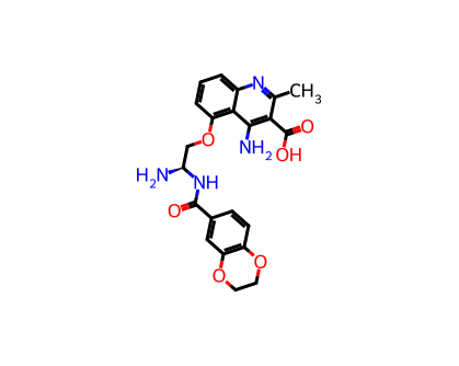 Cc1nc2cccc(OC[C@H](N)NC(=O)c3ccc4c(c3)OCCO4)c2c(N)c1C(=O)O